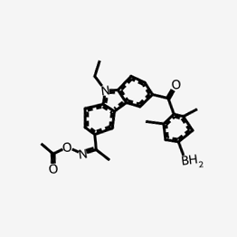 Bc1cc(C)c(C(=O)c2ccc3c(c2)c2cc(/C(C)=N\OC(C)=O)ccc2n3CC)c(C)c1